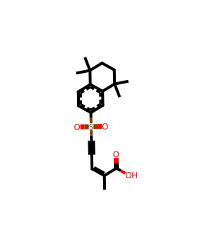 CC(=CC#CS(=O)(=O)c1ccc2c(c1)C(C)(C)CCC2(C)C)C(=O)O